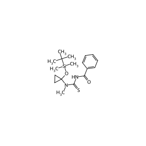 CN(C(=S)NC(=O)c1ccccc1)C1(O[Si](C)(C)C(C)(C)C)CC1